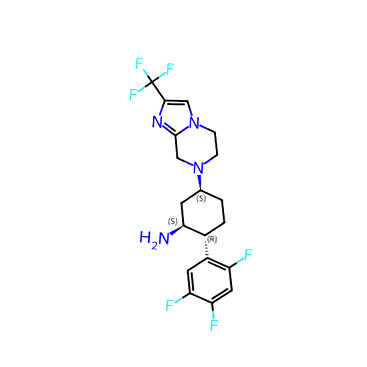 N[C@H]1C[C@@H](N2CCn3cc(C(F)(F)F)nc3C2)CC[C@@H]1c1cc(F)c(F)cc1F